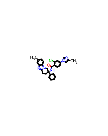 Cc1ccc2c(c1)nc1n2C[C@@](NC(=O)c2ccc(-n3cnc(C)c3)cc2Cl)(c2ccccc2)CC1